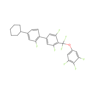 Fc1cc(C2CCCCC2)ccc1-c1cc(F)c(C(F)(F)Oc2cc(F)c(F)c(F)c2)c(F)c1